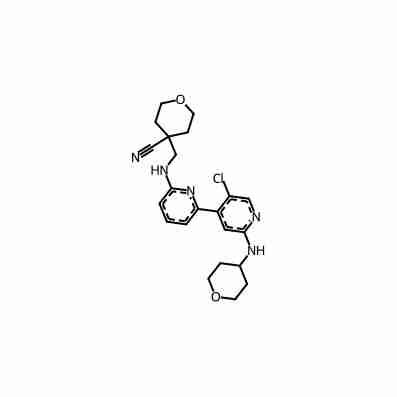 N#CC1(CNc2cccc(-c3cc(NC4CCOCC4)ncc3Cl)n2)CCOCC1